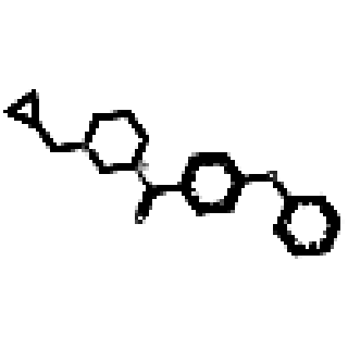 O=C(c1ccc(Oc2ccccc2)cc1)[C@H]1CCCN(CC2CC2)C1